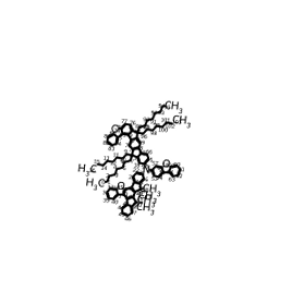 CCCCCCCCC1(CCCCCCCC)c2cc(N(c3ccc4c(c3)C(C)(C)c3c5c(c6c(oc7ccccc76)c3-4)-c3ccccc3C5(C)C)c3ccc4c(c3)oc3ccccc34)ccc2-c2cc3c(cc21)-c1c(ccc2oc4ccccc4c12)C3(CCCCCCCC)CCCCCCCC